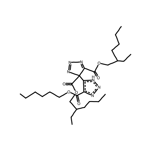 CCCCCCOC(=O)c1nn[nH]c1C1(C(=O)OCC(CC)CCCC)N=NN=C1C(=O)OCC(CC)CCCC